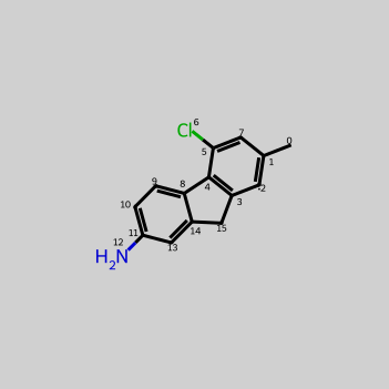 Cc1[c]c2c(c(Cl)c1)-c1ccc(N)cc1C2